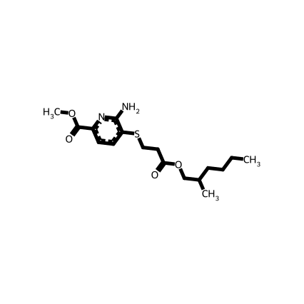 CCCCC(C)COC(=O)CCSc1ccc(C(=O)OC)nc1N